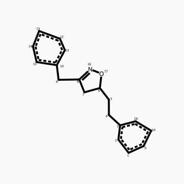 c1ccc(CCC2CC(Cc3ccccc3)=NO2)cc1